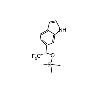 C[Si](C)(C)O[C@@H](c1ccc2cc[nH]c2c1)C(F)(F)F